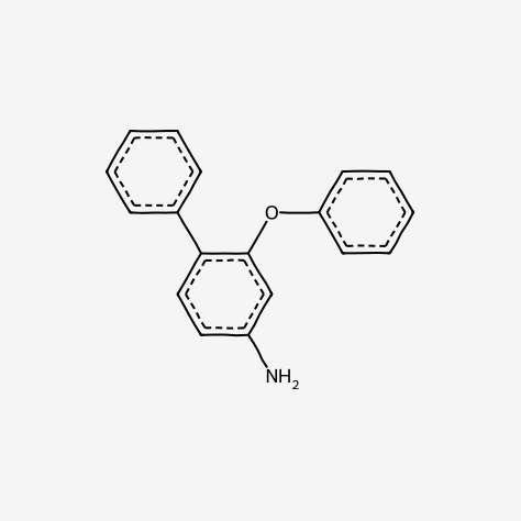 Nc1ccc(-c2ccccc2)c(Oc2ccccc2)c1